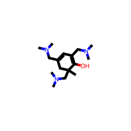 CN(C)CC1=CC(CN(C)C)=C(O)C(C)(CN(C)C)C1